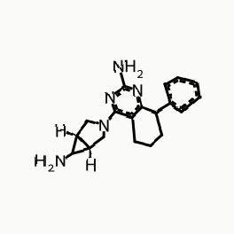 Nc1nc2c(c(N3C[C@@H]4C(N)[C@@H]4C3)n1)CCCC2c1ccccc1